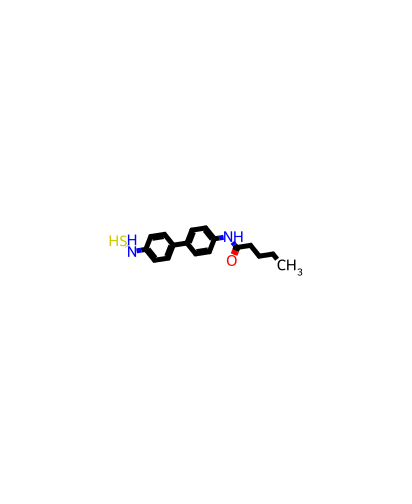 CCCCC(=O)Nc1ccc(-c2ccc(NS)cc2)cc1